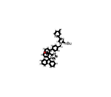 CCCCc1nc(-c2cc(C)ccn2)cn1Cc1ccc(-c2ccccc2-c2nnnn2C(c2ccccc2)(c2ccccc2)c2ccccc2)cc1